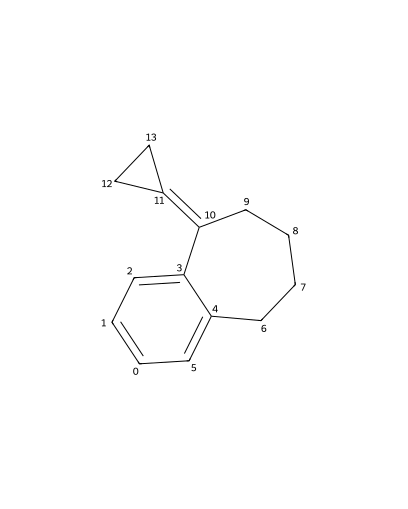 c1ccc2c(c1)CCCCC2=C1CC1